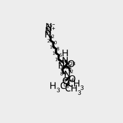 CC(C)(C)OC(=O)N1CCC2(CC1)N=C(CCCCCCCCN=[N+]=[N-])NC2=O